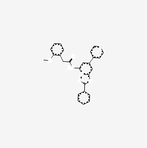 COc1ccccc1CC(=O)Nc1cc(-c2ccncc2)cc2nc(-c3ccccc3)nn12